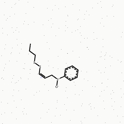 CCCSS/C=C\C[S+]([O-])c1ccccc1